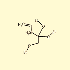 C=C[SiH2]C(COCC)(OCC)OCC